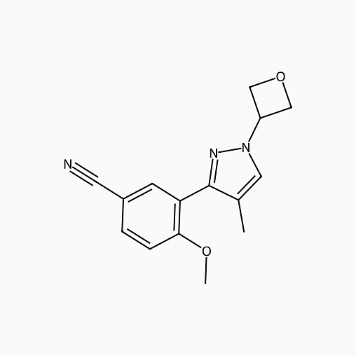 COc1ccc(C#N)cc1-c1nn(C2COC2)cc1C